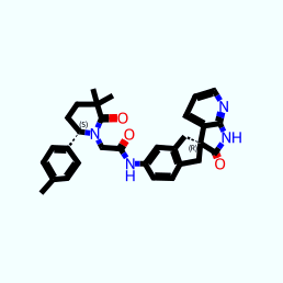 Cc1ccc([C@@H]2CCC(C)(C)C(=O)N2CC(=O)Nc2ccc3c(c2)C[C@@]2(C3)C(=O)Nc3ncccc32)cc1